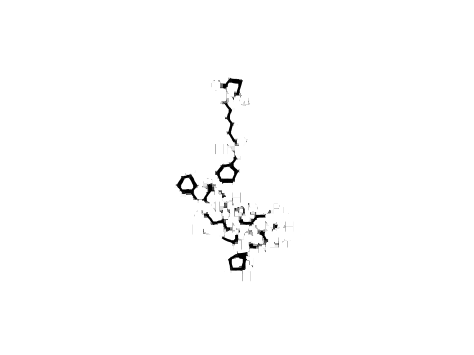 CC[C@H](C)[C@@H]([C@@H](CC(=O)N1CCC[C@H]1[C@H](OC)[C@@H](C)C(=O)N[C@@H](Cc1ccccc1)C(=O)N(C)c1ccc(CNC(=O)CCCCCN2C(=O)C=CC2=O)cc1)OC)N(C)C(=O)[C@@H](NC(=O)[C@H]1N[C@@H]2CC[C@H]1C2)C(C)C